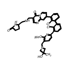 COc1nc(-c2cccc(-c3cccc(-c4ccn5c(=O)c(CNCC6CCC(=O)N6)cnc5c4)c3Cl)c2Cl)ccc1CN1CC(C)(O)C1